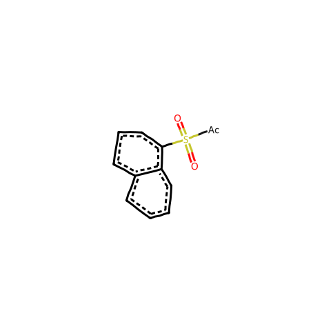 CC(=O)S(=O)(=O)c1cccc2ccccc12